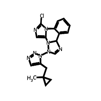 CC1(Cc2cnnn2N2C=NC3c4ccccc4-n4c(cnc4Cl)N32)CC1